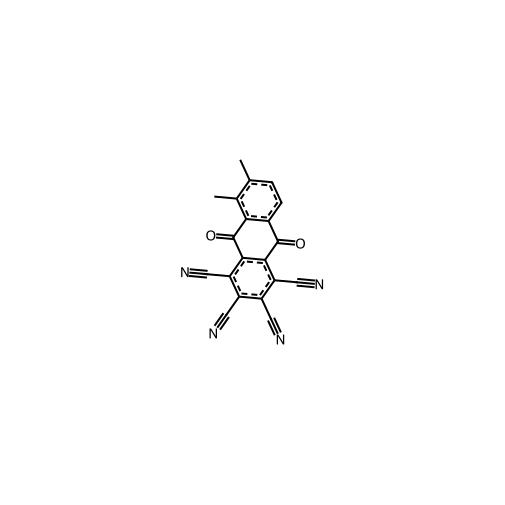 Cc1ccc2c(c1C)C(=O)c1c(C#N)c(C#N)c(C#N)c(C#N)c1C2=O